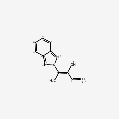 C=C/C(O)=C(\C)n1nc2ccccc2n1